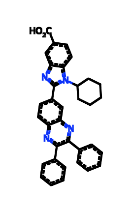 O=C(O)c1ccc2c(c1)nc(-c1ccc3nc(-c4ccccc4)c(-c4ccccc4)nc3c1)n2C1CCCCC1